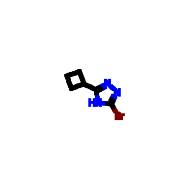 Brc1nnc(C2CCC2)[nH]1